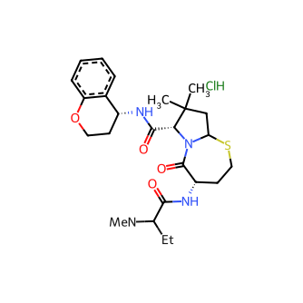 CCC(NC)C(=O)N[C@H]1CCSC2CC(C)(C)[C@@H](C(=O)N[C@@H]3CCOc4ccccc43)N2C1=O.Cl